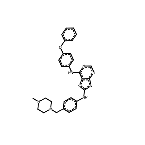 CN1CCN(Cc2ccc(Nc3nc4ncnc(Nc5ccc(Oc6ccccc6)cc5)c4s3)cc2)CC1